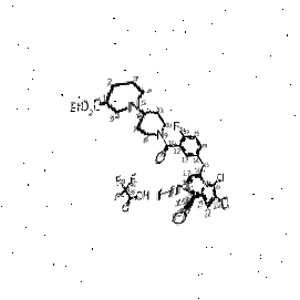 CCOC(=O)C1CCCN(C2CCN(C(=O)c3cc(Cc4c[nH]c(=O)c5cc(Cl)c(Cl)n45)ccc3F)CC2)C1.O=C(O)C(F)(F)F